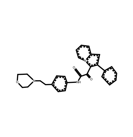 O=C(Nc1ccc(CCN2CCOCC2)cc1)C(=O)c1c(-c2ccccc2)cc2ccccn12